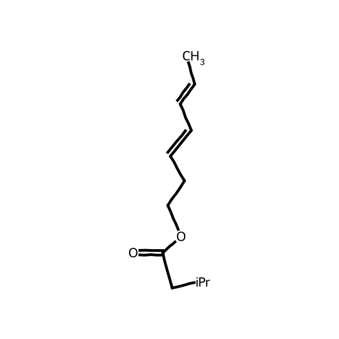 CC=CC=CCCOC(=O)CC(C)C